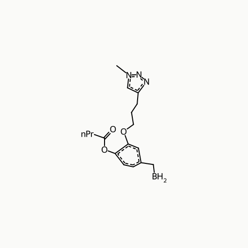 BCc1ccc(OC(=O)CCC)c(OCCCc2cn(C)nn2)c1